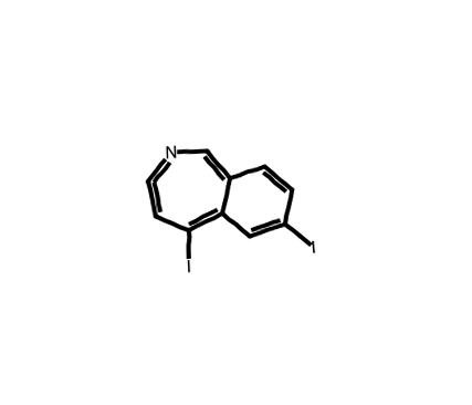 IC1=c2cc(I)ccc2=CN=C=C1